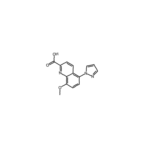 COc1ccc(-n2cccn2)c2ccc(C(=O)O)nc12